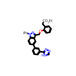 CCOC(=O)Cc1ccccc1OCc1nn(C(C)C)c2ccc(-c3cccc(-c4nnc[nH]4)c3)cc12